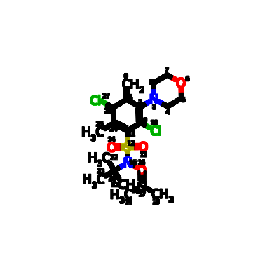 C=C1C(N2CCOCC2)=C(Cl)C(S(=O)(=O)N(O[SiH](C)C)C(C)(C)C)=C(C)C1Cl